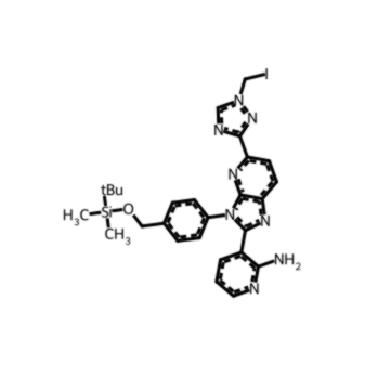 CC(C)(C)[Si](C)(C)OCc1ccc(-n2c(-c3cccnc3N)nc3ccc(-c4ncn(CI)n4)nc32)cc1